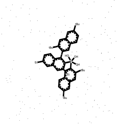 CCc1ccc2c(-c3cc4ccc(C(C)(C)C)cc4cc3C(C)(C)C)c(P(O)(O)(O)c3cc4ccc(C(C)(C)C)cc4cc3C(C)(C)C)c(CC)cc2c1